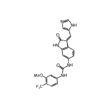 COc1cc(NC(=O)Nc2ccc3c(c2)NC(=O)/C3=C\c2cnc[nH]2)ccc1C(F)(F)F